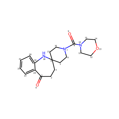 O=C1CCC2(CCN(C(=O)N3CCOCC3)CC2)Nc2ccccc21